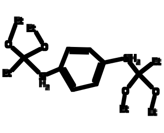 CCOC(CC)(OCC)[SiH2]c1ccc([SiH2]C(CC)(OCC)OCC)cc1